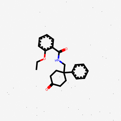 CCOc1ccccc1C(=O)NCC1(c2ccccc2)CCC(=O)CC1